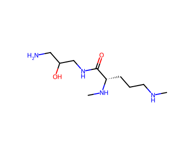 CNCCC[C@H](NC)C(=O)NCC(O)CN